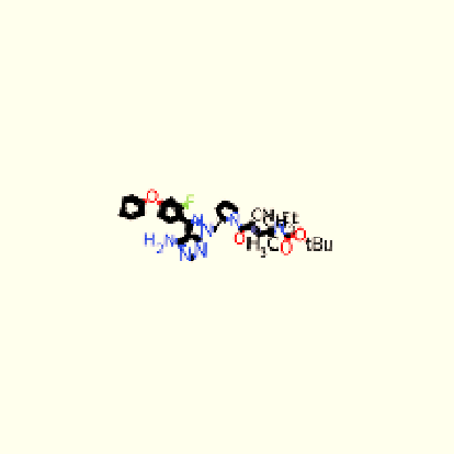 CCN(C(=O)OC(C)(C)C)C(C)(C)/C=C(\C#N)C(=O)N1CCC[C@@H]1Cn1nc(-c2ccc(Oc3ccccc3)cc2F)c2c(N)ncnc21